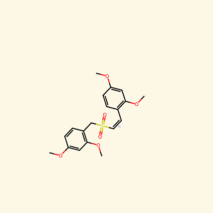 COc1ccc(/C=C\S(=O)(=O)Cc2ccc(OC)cc2OC)c(OC)c1